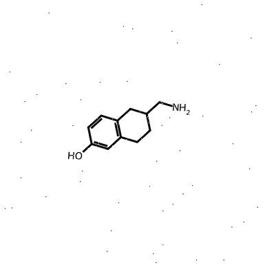 NCC1CCc2cc(O)ccc2C1